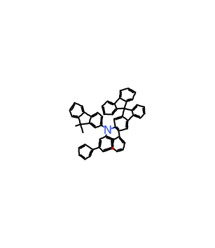 CC1(C)c2ccccc2-c2ccc(N(c3cccc(-c4ccccc4)c3)c3cc4c(cc3-c3ccccc3)-c3ccccc3C43c4ccccc4-c4ccccc43)cc21